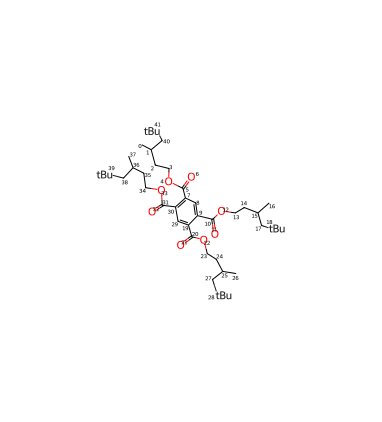 CC(CCOC(=O)c1cc(C(=O)OCCC(C)CC(C)(C)C)c(C(=O)OCCC(C)CC(C)(C)C)cc1C(=O)OCCC(C)CC(C)(C)C)CC(C)(C)C